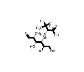 CC(C)(S)[C@@H](N)C(=O)O.O=C[C@H](O)[C@@H](O)[C@H](O)[C@H](O)CO